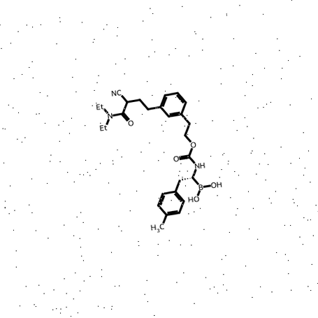 CCN(CC)C(=O)C(C#N)CCc1cccc(CCOC(=O)N[C@@H](Cc2ccc(C)cc2)B(O)O)c1